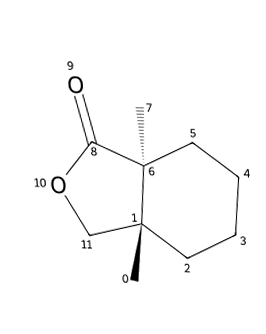 C[C@]12CCCC[C@]1(C)C(=O)OC2